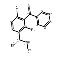 CC[C@@H](NC(C)C)c1ccc(Cl)c(C(=O)c2cccnc2)c1F